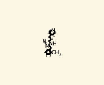 Cc1ccccc1CC(=NC#N)NCCCc1ccncc1